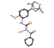 COc1ccc(N2C[C@@H]3C[C@H]2CO3)cc1NC(=O)N(S)C(=O)c1ccccc1